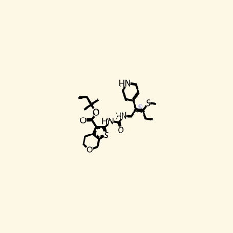 CC/C(SC)=C(\CNC(=O)Nc1sc2c(c1C(=O)OC(C)(C)CC)CCOC2)C1=CCNCC1